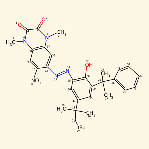 Cn1c(=O)c(=O)n(C)c2cc([N+](=O)[O-])c(N=Nc3cc(C(C)(C)CC(C)(C)C)cc(C(C)(C)c4ccccc4)c3O)cc21